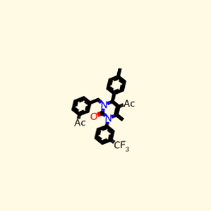 CC(=O)C1=C(C)N(c2cccc(C(F)(F)F)c2)C(=O)N(Cc2cccc(C(C)=O)c2)C1c1ccc(C)cc1